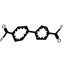 O=C(F)c1ccc(-c2ccc(C(=O)F)cc2)cc1